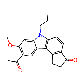 CCCn1c2cc(OC)c(C(C)=O)cc2c2c3c(ccc21)C(=O)CC3